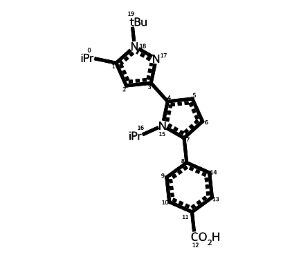 CC(C)c1cc(-c2ccc(-c3ccc(C(=O)O)cc3)n2C(C)C)nn1C(C)(C)C